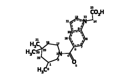 CC1CN(C(=O)c2ccc3c(ccn3CC(=O)O)c2)CCC(C)(C)C1